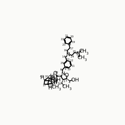 CC[C@@H]1[C@H](CO)ON(Cc2cccc(CN(CCc3ccccc3)CCN(C)C)c2)[C@@H]1C(=O)N[C@H]1C[C@H]2C[C@@H]([C@@H]1C)C2(C)C